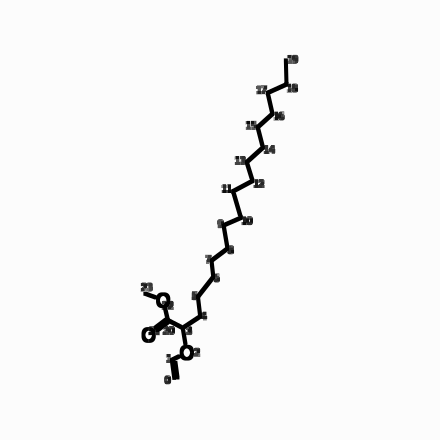 C=COC(CCCCCCCCCCCCCCCC)C(=O)OC